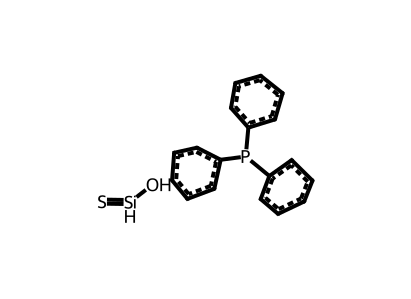 O[SiH]=S.c1ccc(P(c2ccccc2)c2ccccc2)cc1